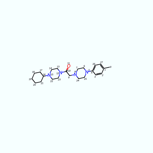 Cc1ccc(N2CCN(CC(=O)N3CCN(C4CCCCC4)CC3)CC2)cc1